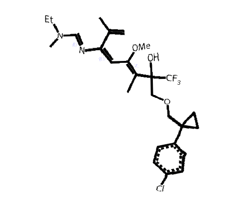 C=C(C)C(=C\C(OC)=C(/C)C(O)(COCC1(c2ccc(Cl)cc2)CC1)C(F)(F)F)/N=C/N(C)CC